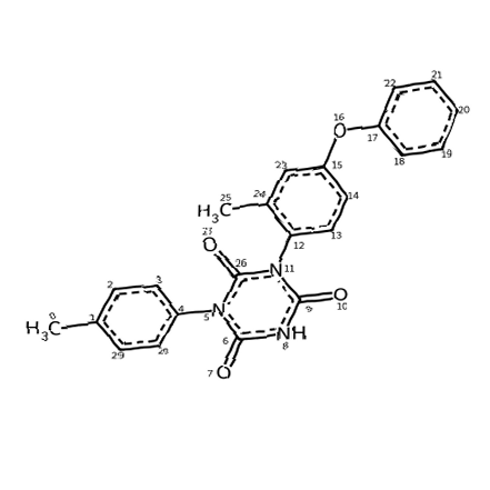 Cc1ccc(-n2c(=O)[nH]c(=O)n(-c3ccc(Oc4ccccc4)cc3C)c2=O)cc1